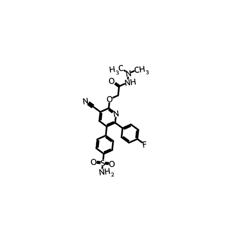 CN(C)NC(=O)COc1nc(-c2ccc(F)cc2)c(-c2ccc(S(N)(=O)=O)cc2)cc1C#N